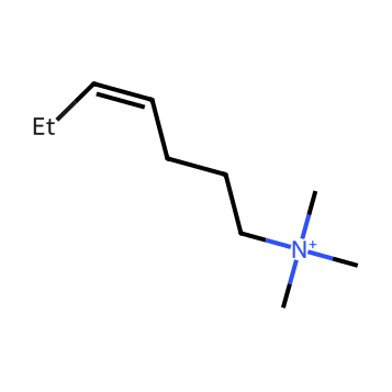 CC/C=C\CCC[N+](C)(C)C